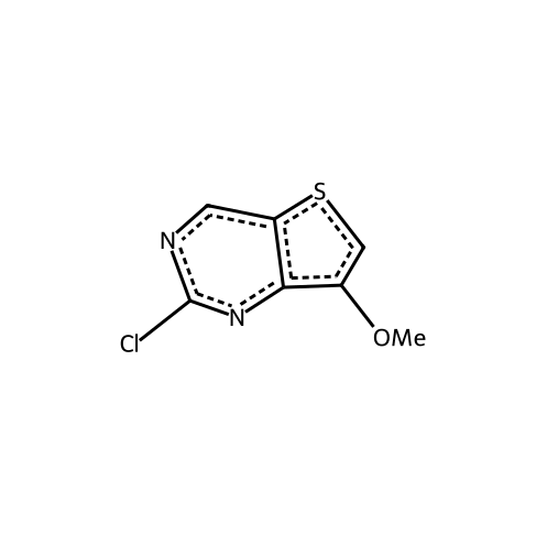 COc1csc2cnc(Cl)nc12